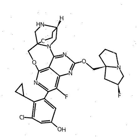 Oc1cc(Cl)c(C2CC2)c(-c2nc3c4c(nc(OC[C@@]56CCCN5C[C@@H](F)C6)nc4c2F)N2C[C@@H]4CCCC2(CN4)CO3)c1